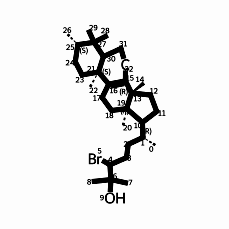 C[C@H](CCC(Br)C(C)(C)O)C1CC[C@@]2(C)C3=C(CC[C@]12C)[C@@]1(C)CC[C@H](C)C(C)(C)C1CC3